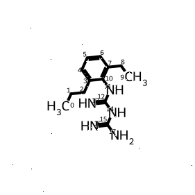 CCCc1cccc(CC)c1NC(=N)NC(=N)N